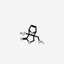 CCC12COC(=O)C1(C)C1C=CC2O1